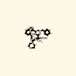 CC(=O)NC(C)(C)C(=O)N[C@H](COCc1ccccc1)c1nnc2cccc(COC(=O)N3CCOCC3)n12